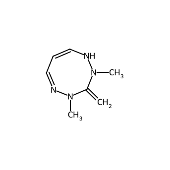 C=C1N(C)/N=C\C=C/NN1C